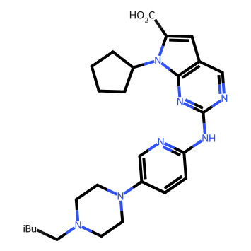 CCC(C)CN1CCN(c2ccc(Nc3ncc4cc(C(=O)O)n(C5CCCC5)c4n3)nc2)CC1